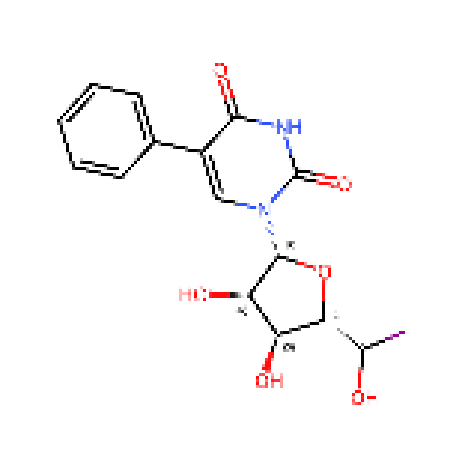 O=c1[nH]c(=O)n([C@@H]2O[C@H](C(O)I)[C@@H](O)[C@H]2O)cc1-c1ccccc1